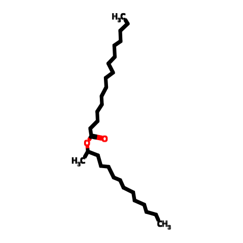 CCCCCCCCCCCCCCCC(=O)OC(C)CCCCCCCCCCCC